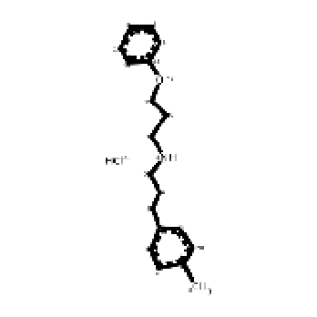 Cc1ccc(CCCNCCCOc2ccccc2)cc1.Cl